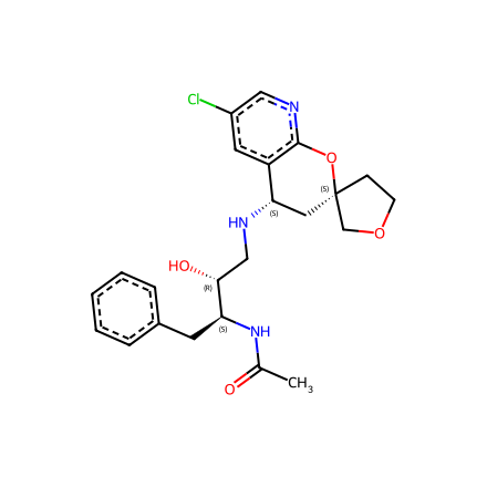 CC(=O)N[C@@H](Cc1ccccc1)[C@H](O)CN[C@H]1C[C@@]2(CCOC2)Oc2ncc(Cl)cc21